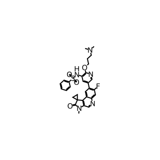 CN(C)CCCOc1ncc(-c2cc3c4c(cnc3cc2F)N(C)C(=O)C42CC2)cc1NS(=O)(=O)c1ccccc1